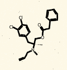 C=CCN(C)[C@](C)(COC(=O)Cc1ccccc1)Cc1ccc(Cl)c(Cl)c1